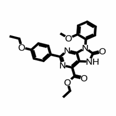 CCOC(=O)c1nc(-c2ccc(OCC)cc2)nc2c1[nH]c(=O)n2-c1ccccc1OC